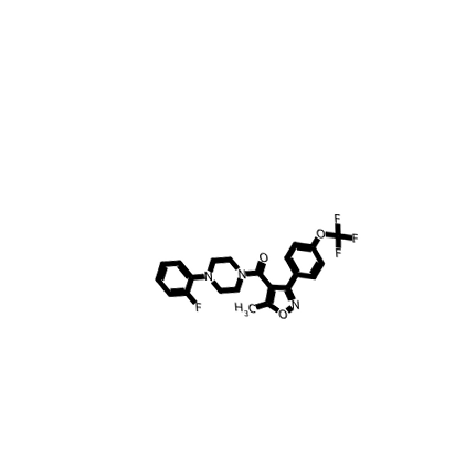 Cc1onc(-c2ccc(OC(F)(F)F)cc2)c1C(=O)N1CCN(c2ccccc2F)CC1